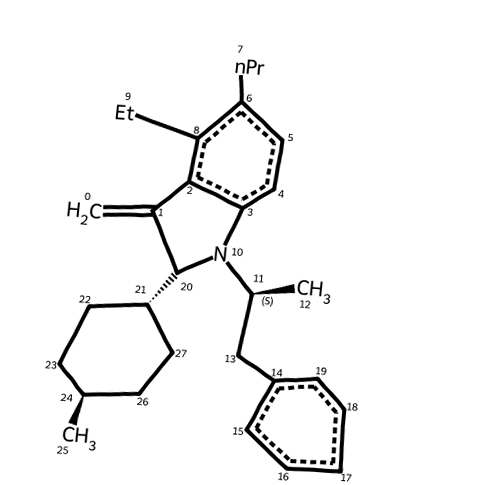 C=C1c2c(ccc(CCC)c2CC)N([C@@H](C)Cc2ccccc2)C1[C@H]1CC[C@H](C)CC1